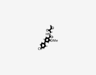 COc1cc(-c2ccc(Cl)cc2)ccc1C(=O)NCC(=O)C1CO1